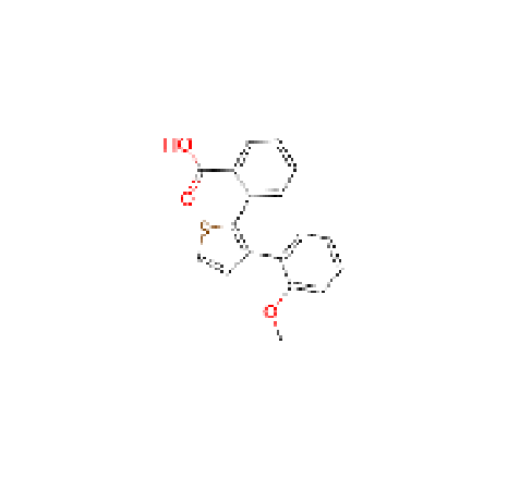 COc1ccccc1-c1ccsc1-c1ccccc1C(=O)O